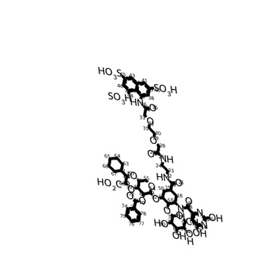 CC1OC(OC2C(NC(=O)c3cc(O)nc(O)n3)CC(C(=O)NCCNC(=O)COCCOCC(=O)Nc3cc(S(=O)(=O)O)cc4cc(S(=O)(=O)O)cc(S(=O)(=O)O)c34)CC2OC2OCC(O)C(O[C@@H](CC3CCCCC3)C(=O)O)C2OC(=O)c2ccccc2)C(O)C(O)C1O